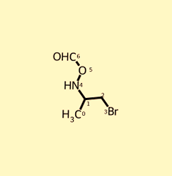 CC(CBr)NOC=O